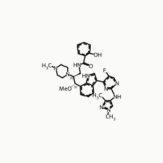 CO[C@@H](c1cccc2c(-c3nc(Nc4cn(C)nc4C)ncc3F)c[nH]c12)[C@H](CNC(=O)c1ccccc1O)N1CCN(C)CC1